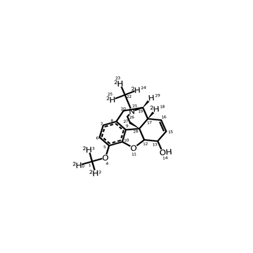 [2H]C([2H])([2H])Oc1ccc2c3c1OC1C(O)C=C[C@@]4([2H])[C@@H](C2)N(C([2H])([2H])[2H])CC[C@]314